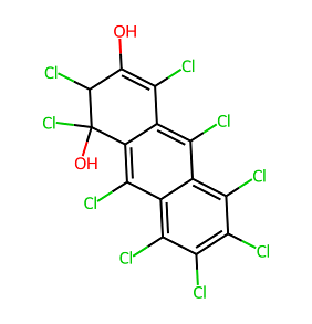 OC1=C(Cl)c2c(c(Cl)c3c(Cl)c(Cl)c(Cl)c(Cl)c3c2Cl)C(O)(Cl)C1Cl